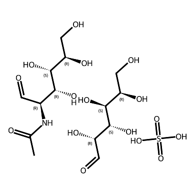 CC(=O)N[C@@H](C=O)[C@@H](O)[C@H](O)[C@H](O)CO.O=C[C@H](O)[C@@H](O)[C@@H](O)[C@H](O)CO.O=S(=O)(O)O